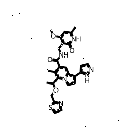 COc1cc(C)[nH]c(=O)c1CNC(=O)c1cc2c(-c3ccn[nH]3)ccn2c(C(C)OCc2nccs2)c1C